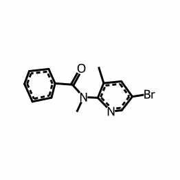 Cc1cc(Br)cnc1N(C)C(=O)c1ccccc1